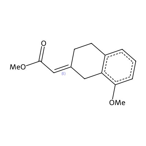 COC(=O)/C=C1\CCc2cccc(OC)c2C1